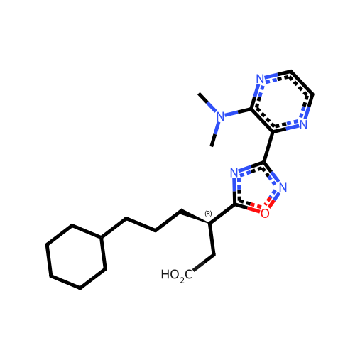 CN(C)c1nccnc1-c1noc([C@H](CCCC2CCCCC2)CC(=O)O)n1